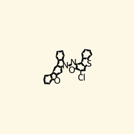 Clc1cc2sc3ccccc3c2c2nc(-n3c4ccccc4c4cc5c(cc43)oc3ccccc35)oc12